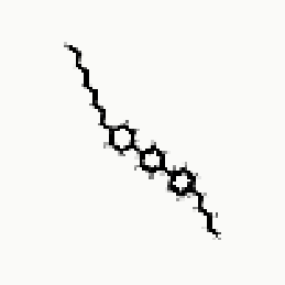 CCCCCCCCCC1CCC(c2ccc(-c3ccc(CCCCC)cc3)cc2)CC1